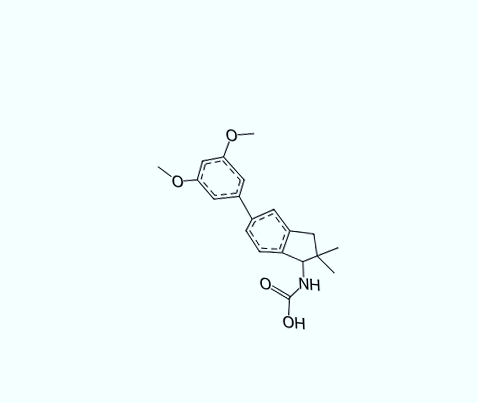 COc1cc(OC)cc(-c2ccc3c(c2)CC(C)(C)C3NC(=O)O)c1